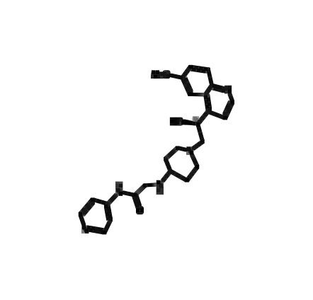 COc1ccc2nccc([C@H](O)CN3CCC(NCC(=O)Nc4ccncc4)CC3)c2c1